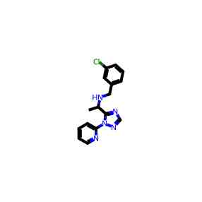 CC(NCc1cccc(Cl)c1)c1ncnn1-c1ccccn1